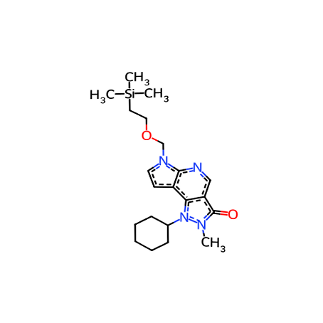 Cn1c(=O)c2cnc3c(ccn3COCC[Si](C)(C)C)c2n1C1CCCCC1